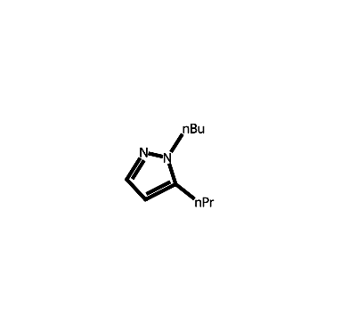 CCCCn1nccc1CCC